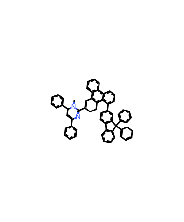 CN1C(C2=Cc3c(c4c(-c5ccc6c(c5)C(C5=CC=CCC5)(c5ccccc5)c5ccccc5-6)cccc4c4ccccc34)CC2)=NC(c2ccccc2)=CC1c1ccccc1